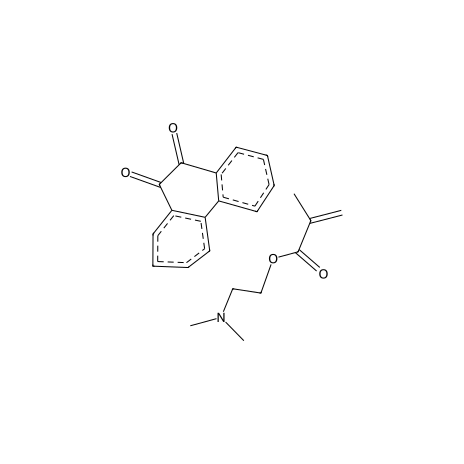 C=C(C)C(=O)OCCN(C)C.O=C1C(=O)c2ccccc2-c2ccccc21